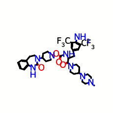 CN1CCN(C2CCN(C(=O)C(Cc3cc(C(F)(F)F)c(N)c(C(F)(F)F)c3)NC(=O)ON3CCC(N4CCc5ccccc5NC4=O)CC3)CC2)CC1